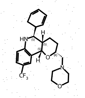 FC(F)(F)c1ccc2c(c1)[C@H]1O[C@@H](CN3CCOCC3)CC[C@H]1[C@H](C1C=CC=CC1)N2